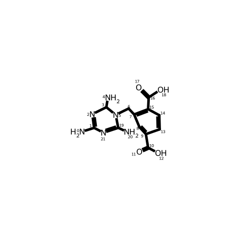 NC1=NC(N)N(Cc2cc(C(=O)O)ccc2C(=O)O)C(N)=N1